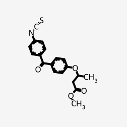 COC(=O)CC(C)Oc1ccc(C(=O)c2ccc(N=C=S)cc2)cc1